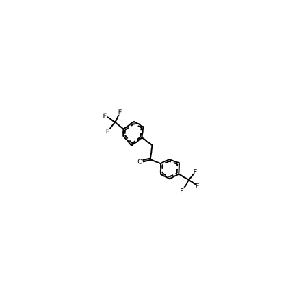 O=C(Cc1ccc(C(F)(F)F)cc1)c1ccc(C(F)(F)F)cc1